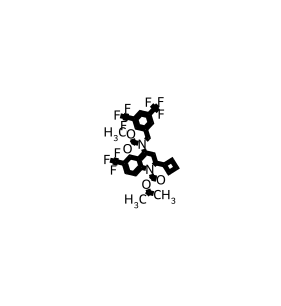 COC(=O)N(Cc1cc(C(F)(F)F)cc(C(F)(F)F)c1)C1=C2CC(C(F)(F)F)=CC=C2N(C(=O)OC(C)C)C(C2CCC2)C1